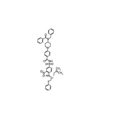 CN(C)CC[C@H](CSc1ccccc1)Nc1ccc(S(=O)(=O)NC(=O)c2ccc(N3CCC(N(Cc4ccccc4)C(=O)c4ccccc4)CC3)cc2)cc1[N+](=O)[O-]